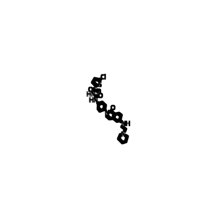 O=C(Nc1ccc(-n2ccc3cc(NCCN4CCCCC4)ccc3c2=O)cc1)NS(=O)(=O)c1ccc(Cl)s1